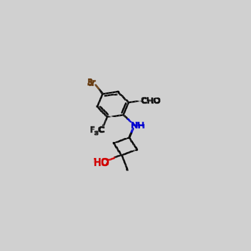 CC1(O)CC(Nc2c(C=O)cc(Br)cc2C(F)(F)F)C1